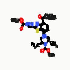 COC(=O)c1ccc(N2C[C@H](C)N(C(=O)OC(C)(C)C)[C@@H](C)C2)c2sc(CNC(=O)OC(C)(C)C)nc12